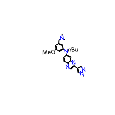 CCCCN(c1cc(CN(C)C)cc(OC)c1)c1ccc2ncc(-c3cnn(C)c3)nc2c1